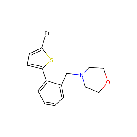 CCc1ccc(-c2ccccc2CN2CCOCC2)s1